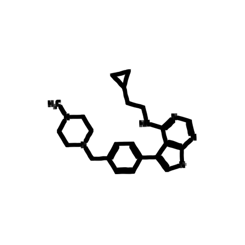 CN1CCN(Cc2ccc(C3=C[N]c4ncnc(NCCC5CC5)c43)cc2)CC1